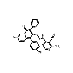 N#Cc1c(N)ncnc1NCCc1c(-c2ccccc2)c(=O)n2cc(F)ccc2c1-c1ccc(O)cc1